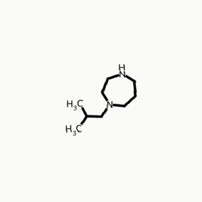 CC(C)CN1CCCNCC1